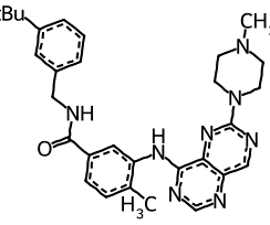 Cc1ccc(C(=O)NCc2cccc(C(C)(C)C)c2)cc1Nc1ncnc2cnc(N3CCN(C)CC3)nc12